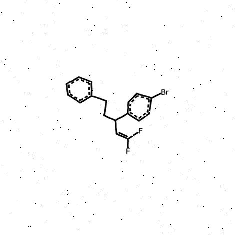 FC(F)=CC(CCc1ccccc1)c1ccc(Br)cc1